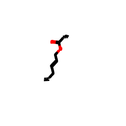 CCCC(=O)OC/C=C/CC#N